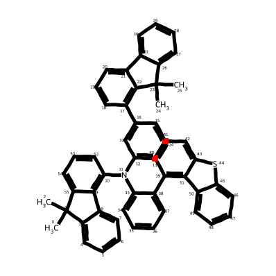 CC1(C)c2ccccc2-c2c(N(c3cccc(-c4cccc5c4C(C)(C)c4ccccc4-5)c3)c3ccccc3-c3cccc4sc5ccccc5c34)cccc21